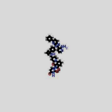 Nc1ncccc1-c1nc2ccc(-c3ccccc3)nc2n1-c1ccc(C2(NCC3CCN(c4cccc5c4C(=O)N(N4CCC(=O)NC4=O)C5=O)CC3)CCC2)cc1